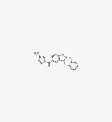 Cn1cnc(Nc2cc3c(cn2)cnn3Cc2ccccc2F)n1